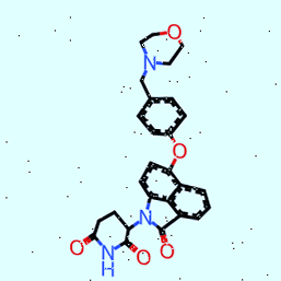 O=C1CCC(N2C(=O)c3cccc4c(Oc5ccc(CN6CCOCC6)cc5)ccc2c34)C(=O)N1